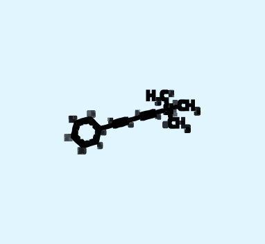 C[Si](C)(C)C#CC#Cc1ccccc1